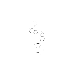 C=C(CC)Nc1cncc(-c2ccc3[nH]nc(-c4cc5c(N6CCCCC6)nccc5[nH]4)c3c2)c1